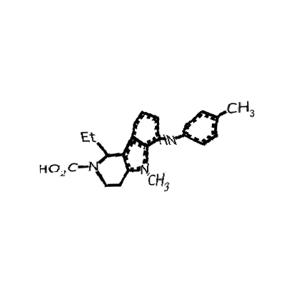 CCC1c2c(n(C)c3c(Nc4ccc(C)cc4)cccc23)CCN1C(=O)O